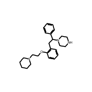 [c]1cccc(OCCN2CCCCC2)c1CC(c1ccccc1)N1CCNCC1